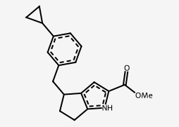 COC(=O)c1cc2c([nH]1)CCC2Cc1cccc(C2CC2)c1